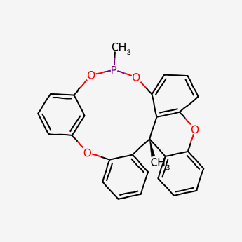 CP1Oc2cccc(c2)Oc2ccccc2[C@@]2(C)c3ccccc3Oc3cccc(c32)O1